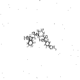 Cc1ccc(NC(=O)C2CCCN(C(=O)Cc3c[nH]c4ccccc34)C2)cc1